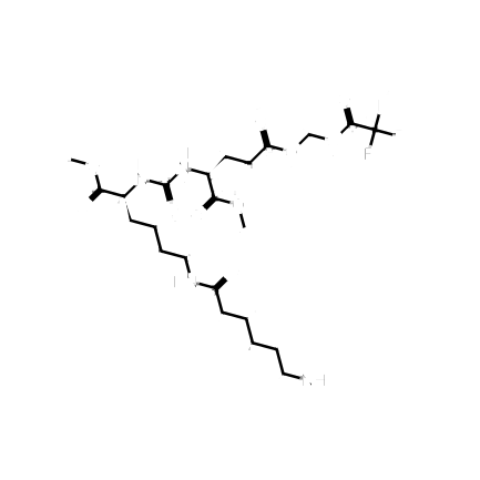 COC(=O)[C@H](CCCCNC(=O)CCCCCN)NC(=O)N[C@@H](CCC(=O)OCOC(=O)C(F)(F)F)C(=O)OC